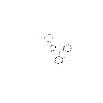 Fc1ccccc1C(c1ccccc1)n1cnc(C2CCCC(Br)C2)c1